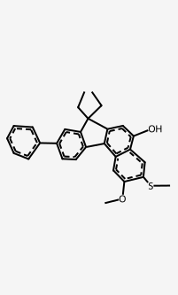 CCC1(CC)c2cc(-c3ccccc3)ccc2-c2c1cc(O)c1cc(SC)c(OC)cc21